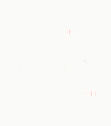 CCCCCCCCCCS(CCO)(CCO)OC(C)=O